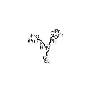 CCOCCCN(CCPCC(OC(C)C)OC(C)C)CCPCC(OC(C)C)OC(C)C